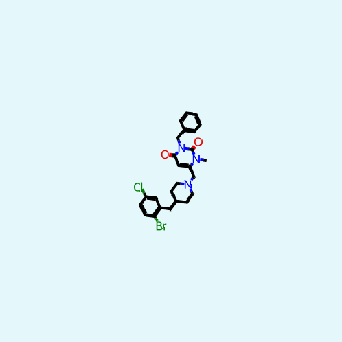 Cn1c(CN2CCC(Cc3cc(Cl)ccc3Br)CC2)cc(=O)n(Cc2ccccc2)c1=O